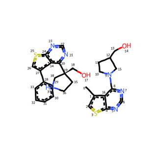 Cc1csc2ncnc(N3CCC(CO)C3)c12.OC[C@@]1(c2ncnc3scc(-c4ccccc4)c23)CCNC1